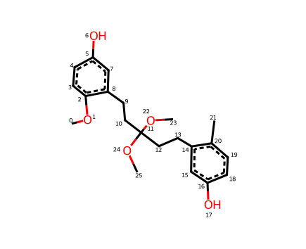 COc1ccc(O)cc1CCC(CCc1cc(O)ccc1C)(OC)OC